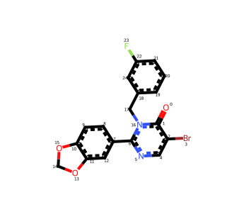 O=c1c(Br)cnc(-c2ccc3c(c2)OCO3)n1Cc1cccc(F)c1